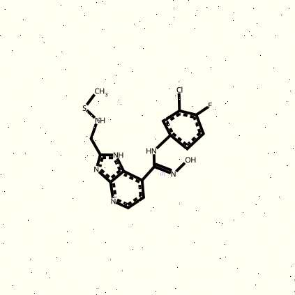 CSNCc1nc2nccc(/C(=N/O)Nc3ccc(F)c(Cl)c3)c2[nH]1